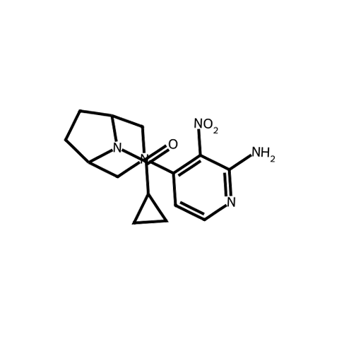 Nc1nccc(N2CC3CCC(C2)N3C(=O)C2CC2)c1[N+](=O)[O-]